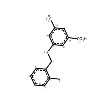 Cc1ccccc1CSc1cc(C(=O)O)cc(C(F)(F)F)c1